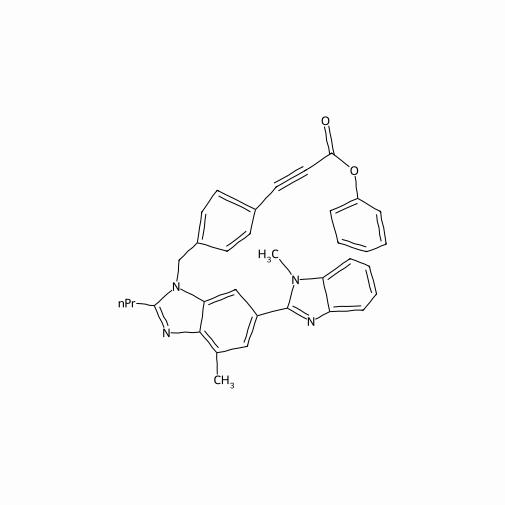 CCCc1nc2c(C)cc(-c3nc4ccccc4n3C)cc2n1Cc1ccc(C#CC(=O)Oc2ccccc2)cc1